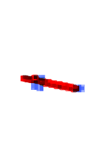 CCCCCCCCCCCC(=O)NC(CCCCNCCOCCOCCOCCOCCOCCOCCOCCOCCOCCOCCOCCOCCNC)C(N)=O